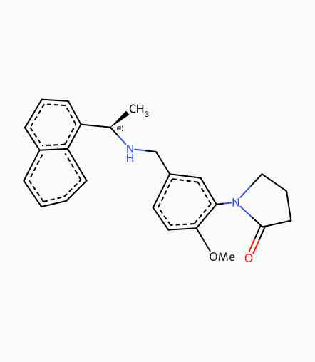 COc1ccc(CN[C@H](C)c2cccc3ccccc23)cc1N1CCCC1=O